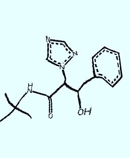 CC(C)(C)NC(=O)C(C(O)c1ccccc1)n1cncn1